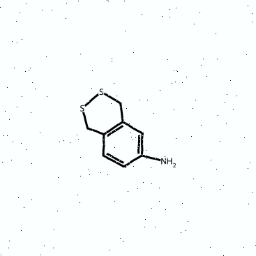 Nc1ccc2c(c1)CSSC2